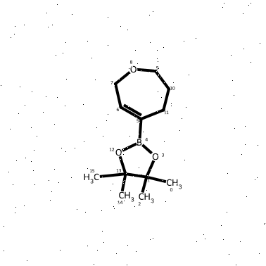 CC1(C)OB(C2=CCOCCC2)OC1(C)C